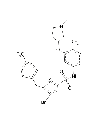 CN1CCC(Oc2cc(NS(=O)(=O)c3cc(Br)c(Sc4ccc(C(F)(F)F)cc4)s3)ccc2C(F)(F)F)C1